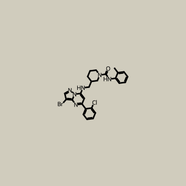 Cc1ccccc1NC(=O)N1CCCC(CNc2cc(-c3ccccc3Cl)nc3c(Br)cnn23)C1